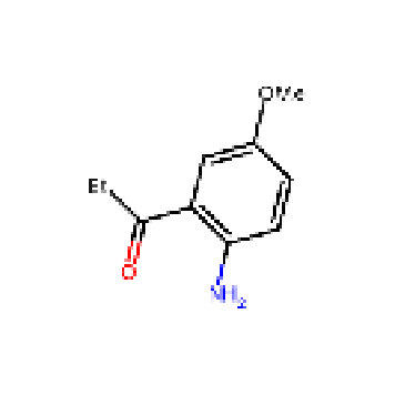 CCC(=O)c1cc(OC)ccc1N